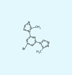 Cc1nccn1-c1cc(Br)cc(-n2ccnc2C)n1